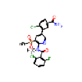 CCCS(=O)(=O)c1cc(-c2cc(C(N)=O)ccc2Cl)cnc1N(C)C(=O)c1c(F)cccc1Cl